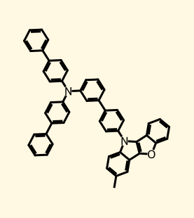 Cc1ccc2c(c1)c1oc3ccccc3c1n2-c1ccc(-c2cccc(N(c3ccc(-c4ccccc4)cc3)c3ccc(-c4ccccc4)cc3)c2)cc1